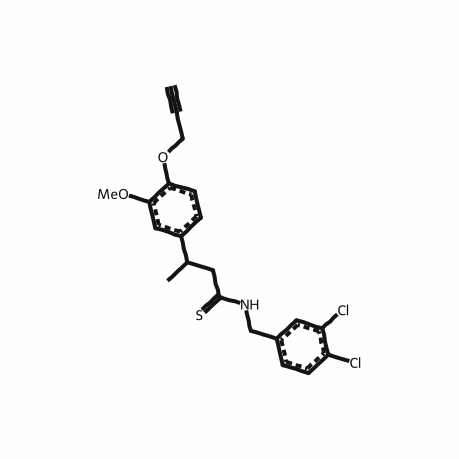 C#CCOc1ccc(C(C)CC(=S)NCc2ccc(Cl)c(Cl)c2)cc1OC